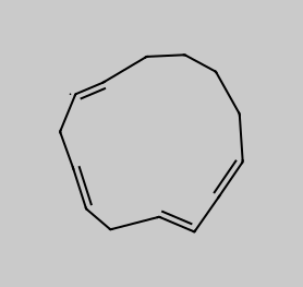 [C]1=C/CCCC/C=C\C=C\C/C=C/C/1